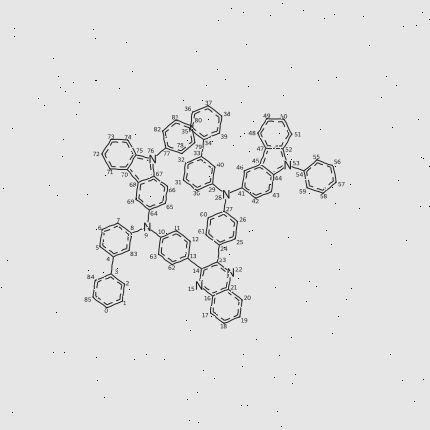 c1ccc(-c2cccc(N(c3ccc(-c4nc5ccccc5nc4-c4ccc(N(c5cccc(-c6ccccc6)c5)c5ccc6c(c5)c5ccccc5n6-c5ccccc5)cc4)cc3)c3ccc4c(c3)c3ccccc3n4-c3ccccc3)c2)cc1